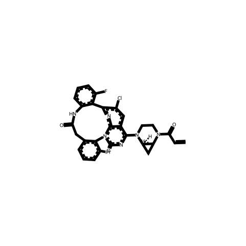 C=CC(=O)N1CCN(c2nc(=O)n3c4nc(c(Cl)cc24)-c2c(F)cccc2NC(=O)Cc2cccc(C(C)C)c2-3)[C@@H]2C[C@@H]21